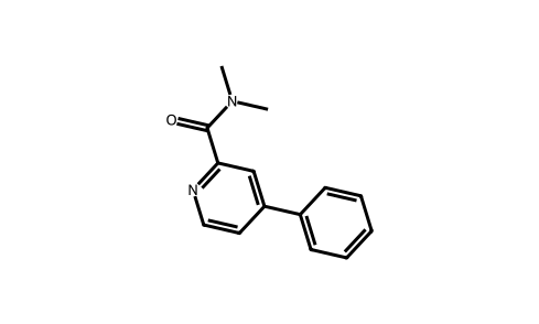 CN(C)C(=O)c1cc(-c2ccccc2)ccn1